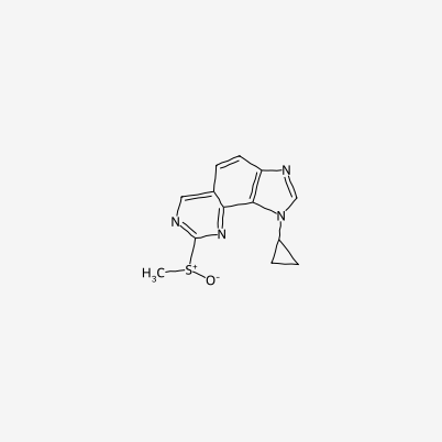 C[S+]([O-])c1ncc2ccc3ncn(C4CC4)c3c2n1